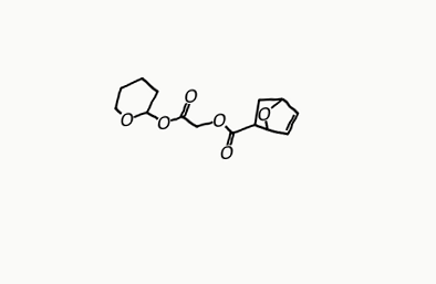 O=C(COC(=O)C1CC2C=CC1O2)OC1CCCCO1